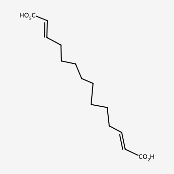 O=C(O)/C=C/CCCCCCCC/C=C/C(=O)O